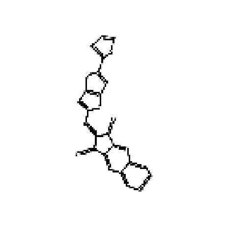 O=C1C(=Cc2cc3sc(-c4cccs4)cc3o2)C(=O)c2cc3ccccc3cc21